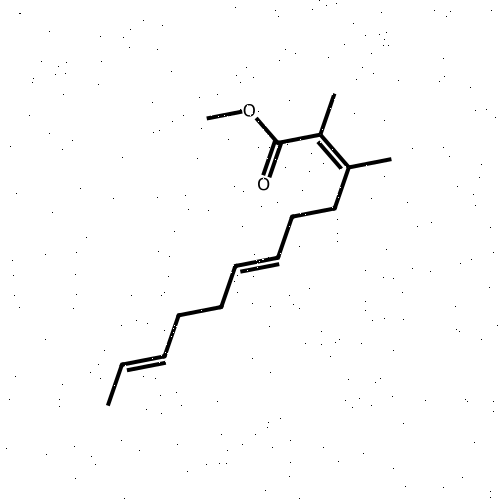 CC=CCCC=CCCC(C)=C(C)C(=O)OC